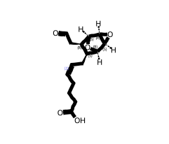 O=CC[C@@H]1[C@H](C/C=C\CCCC(=O)O)[C@H]2O[C@@H]1[C@H]1O[C@H]12